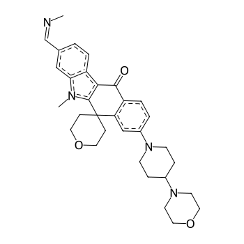 C/N=C\c1ccc2c3c(n(C)c2c1)C1(CCOCC1)c1cc(N2CCC(N4CCOCC4)CC2)ccc1C3=O